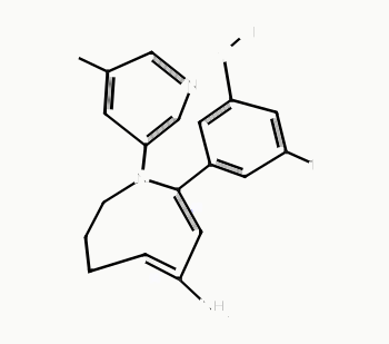 NC1=C\CCCN(c2cncc(F)c2)/C(c2cc(F)cc(OC(F)(F)F)c2)=C\1